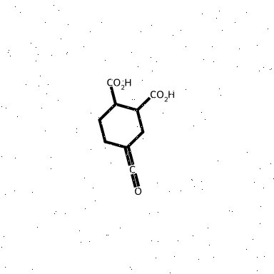 O=C=C1CCC(C(=O)O)C(C(=O)O)C1